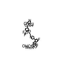 CNC(=O)C(CCC=O)N1Cc2c(cc(F)cc2C2CCN(CCCOc3cc(C(=O)Nc4c(Cl)cncc4Cl)ccc3OC(F)F)CC2)C1=O